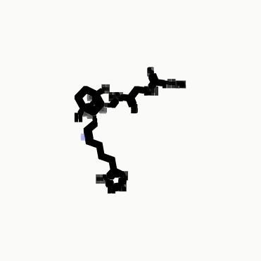 CCCCCCC(=S)NCC(=S)NC[C@@H]1[C@H](C/C=C\CCCc2nnn[nH]2)[C@@H]2CC[C@H]1O2